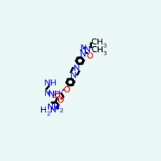 CCC(C)n1ncn(-c2ccc(N3CCN(c4ccc(OC[C@@H]5CO[C@@](CN/N=C\C=N)(C(/C=C\N)=C/N)O5)cc4)CC3)cc2)c1=O